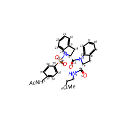 COCCNC(=O)[C@H]1Cc2ccccc2N1C(=O)[C@H]1Cc2ccccc2N1S(=O)(=O)c1ccc(NC(C)=O)cc1